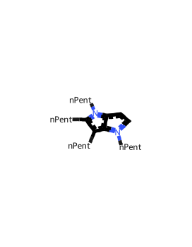 CCCCCc1c(CCCCC)n(CCCCC)c2ccn(CCCCC)c12